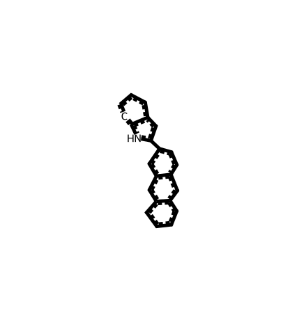 c1ccc2cc3cc(-c4cc5ccccc5[nH]4)ccc3cc2c1